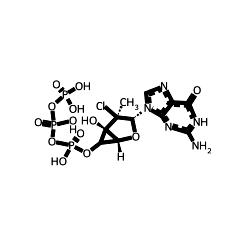 C[C@]1(Cl)[C@H](n2cnc3c(=O)[nH]c(N)nc32)O[C@@H]2C(OP(=O)(O)OP(=O)(O)OP(=O)(O)O)[C@@]21O